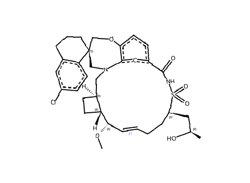 CO[C@H]1/C=C/CC[C@H](C[C@@H](C)O)S(=O)(=O)NC(=O)c2ccc3c(c2)N(C[C@@H]2CC[C@H]21)C[C@@]1(CCCc2cc(Cl)ccc21)CO3